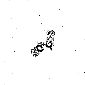 Cc1cc(Nc2ccc(S(F)(F)(F)(F)F)cc2)n2nc(S(C)(=O)=O)nc2n1